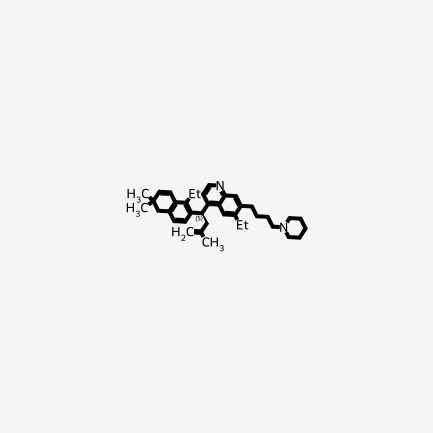 C=C(C)C[C@@H](c1ccc2c(c1CC)C=CC(C)(C)C2)c1ccnc2cc(CCCCN3CCCCC3)c(CC)cc12